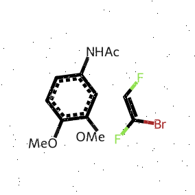 COc1ccc(NC(C)=O)cc1OC.FC=C(F)Br